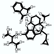 CC(=O)OC12CC[C@@H](N3C(=O)c4ccccc4C3=O)[C@@H]3Oc4c(O)ccc5c4[C@@]31CCN(CC1CC1)[C@@H]2C5.O=C(O)C(O)C(O)C(=O)O